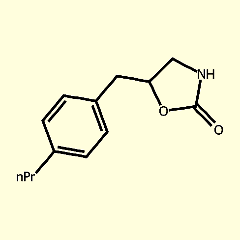 CCCc1ccc(CC2CNC(=O)O2)cc1